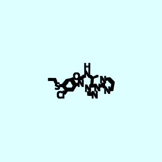 CCSc1cc2oc(N[C@@H](C)c3ncnn3-c3ncccn3)nc2cc1Cl